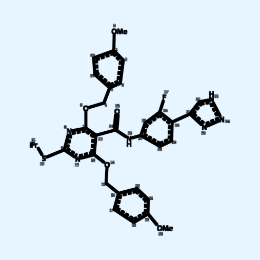 COc1ccc(COc2nc(SC(C)C)nc(OCc3ccc(OC)cc3)c2C(=O)Nc2ccc(-c3c[nH]nn3)c(F)c2)cc1